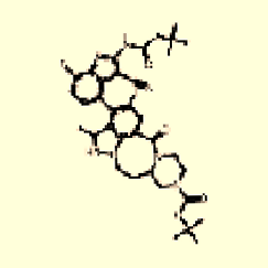 CC1NN2CCC3CN(C(=O)OC(C)(C)C)CCN3C(=O)c3cc(F)c(-c4ccc(F)c5sc(NC(=O)OC(C)(C)C)c(C#N)c45)c1c32